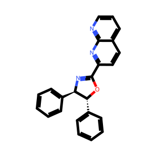 c1ccc([C@H]2N=C(c3ccc4cccnc4n3)O[C@@H]2c2ccccc2)cc1